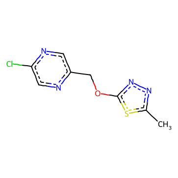 Cc1nnc(OCc2cnc(Cl)cn2)s1